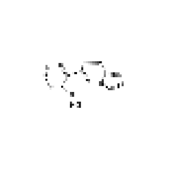 Cl.Oc1cccnc1-c1ccc2nncn2c1